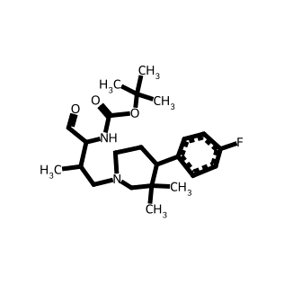 CC(CN1CCC(c2ccc(F)cc2)C(C)(C)C1)C(C=O)NC(=O)OC(C)(C)C